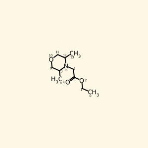 CCOC(=O)CN1C(C)COCC1C